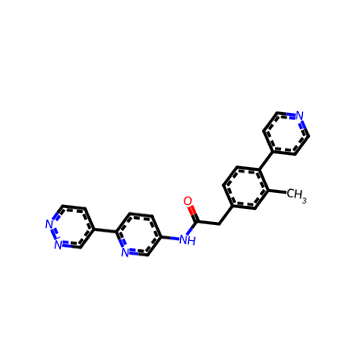 Cc1cc(CC(=O)Nc2ccc(-c3ccnnc3)nc2)ccc1-c1ccncc1